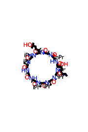 C/C=C/C[C@@H](C)[C@@H](O)[C@H]1C(=O)N[C@@H](CCC)C(=O)N(C)[C@H](C)C(=O)N(C)[C@@H]([C@H](C)CCC(C)(C)O)C(=O)N[C@@H](C(C)C)C(=O)N(C)[C@@H](CC(C)C)C(=O)N[C@@H](C)C(=O)N[C@H](C)C(=O)N(C)[C@@H](CC(C)C)C(=O)N(C)[C@@H](CC(C)C)C(=O)N(C)[C@@H](C(C)C)C(=O)N1C